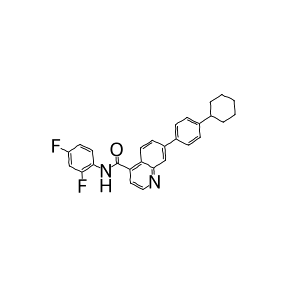 O=C(Nc1ccc(F)cc1F)c1ccnc2cc(-c3ccc(C4CCCCC4)cc3)ccc12